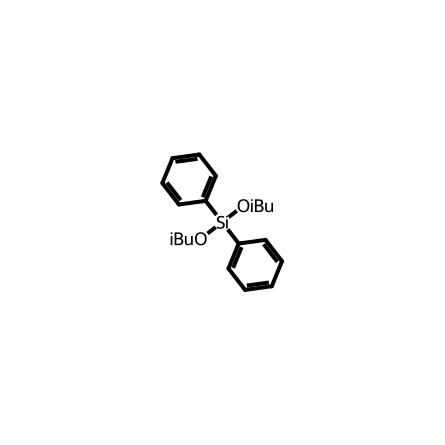 CC(C)CO[Si](OCC(C)C)(c1ccccc1)c1ccccc1